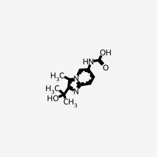 Cc1c(C(C)(C)O)nc2ccc(NC(=O)O)cn12